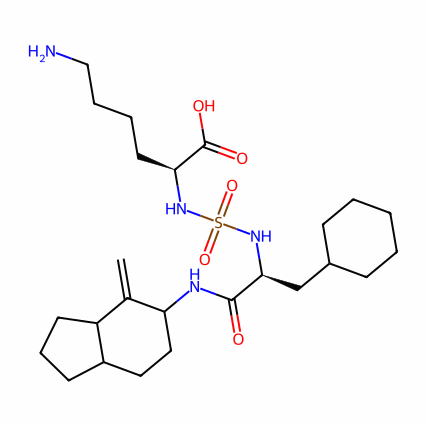 C=C1C(NC(=O)[C@H](CC2CCCCC2)NS(=O)(=O)N[C@@H](CCCCN)C(=O)O)CCC2CCCC12